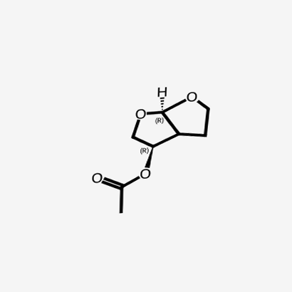 CC(=O)O[C@H]1CO[C@H]2OCCC21